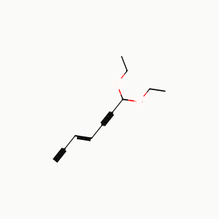 C#C/C=C/C#CC(OCC)OCC